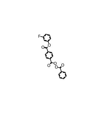 O=C(OOC(=O)c1ccc(C(=O)Oc2cccc(F)c2)cc1)c1ccccc1